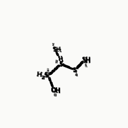 O[SiH2][SH](S)SS